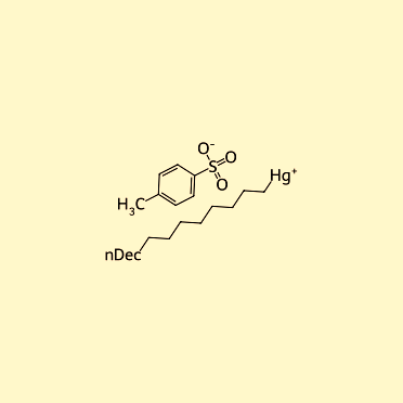 CCCCCCCCCCCCCCCCC[CH2][Hg+].Cc1ccc(S(=O)(=O)[O-])cc1